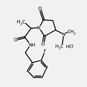 CC(C(=O)NCc1ccccc1F)N1C(=O)CC(N(C)C)C1=O.Cl